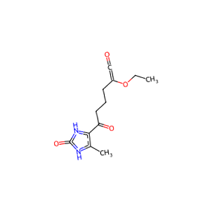 CCOC(=C=O)CCCC(=O)c1[nH]c(=O)[nH]c1C